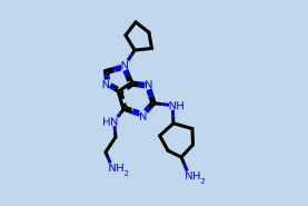 NCCNc1nc(NC2CCC(N)CC2)nc2c1ncn2C1CCCC1